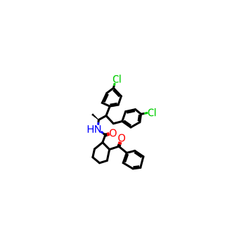 C[C@H](NC(=O)C1CCCCC1C(=O)c1ccccc1)C(Cc1ccc(Cl)cc1)c1ccc(Cl)cc1